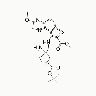 COC(=O)c1sc2ccc3nc(OC)cnc3c2c1NCC1(N)CCN(C(=O)OC(C)(C)C)C1